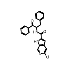 O=C(NC(Cc1ccccc1)C(=O)c1ccccc1)c1cc2cc(Cl)ncc2[nH]1